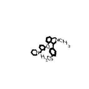 CSc1ccc(C2CN(C)Cc3cccc(Oc4cccc(CN5CCCCC5)c4)c32)cc1